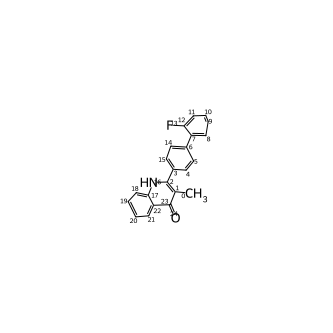 Cc1c(-c2ccc(-c3ccccc3F)cc2)[nH]c2ccccc2c1=O